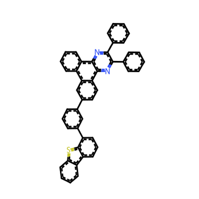 c1ccc(-c2nc3c4ccccc4c4cc(-c5cccc(-c6cccc7c6sc6ccccc67)c5)ccc4c3nc2-c2ccccc2)cc1